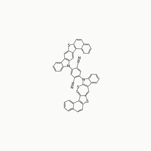 N#Cc1cc(-n2c3ccccc3c3cc4sc5ccc6ccccc6c5c4cc32)c(C#N)cc1-n1c2c(c3ccccc31)C=c1sc3ccc4ccccc4c3c1=CS2